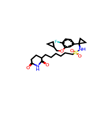 O=C1CCC(CCCCCCS(=O)(=O)NC2(c3ccc(F)c(OCC4CC4)c3)CC2)C(=O)N1